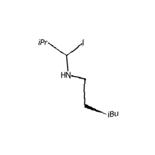 CC[C@H](C)CCNC(I)C(C)C